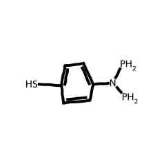 PN(P)c1ccc(S)cc1